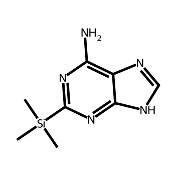 C[Si](C)(C)c1nc(N)c2nc[nH]c2n1